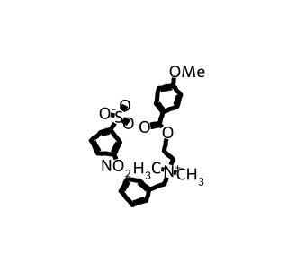 COc1ccc(C(=O)OCC[N+](C)(C)Cc2ccccc2)cc1.O=[N+]([O-])c1cccc(S(=O)(=O)[O-])c1